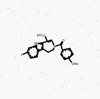 CCOC(=O)C1=CN(C(=O)c2ccc(OC)cc2)CCc2c1[nH]c1cc(F)ccc21